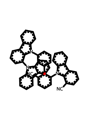 N#Cc1cccc(-n2c3ccccc3c3cccc(C#N)c32)c1-c1cccc(-n2c3ccccc3c3cccc(-n4c5ccccc5c5ccccc54)c32)c1